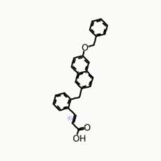 O=C(O)/C=C/c1ccccc1Cc1ccc2cc(OCc3ccccc3)ccc2c1